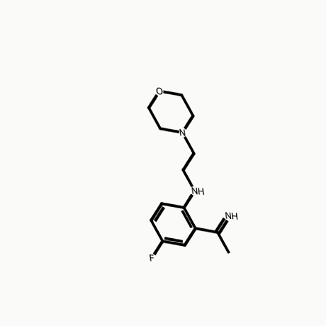 CC(=N)c1cc(F)ccc1NCCN1CCOCC1